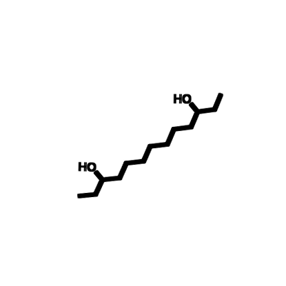 CCC(O)CCCCCCCC(O)CC